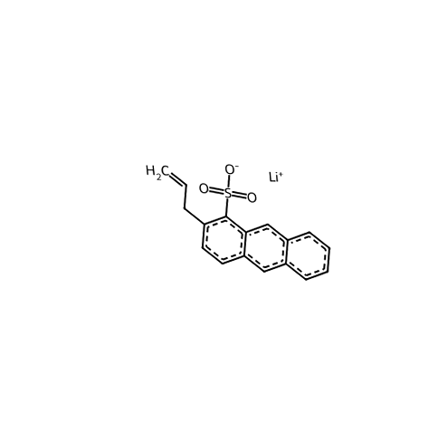 C=CCc1ccc2cc3ccccc3cc2c1S(=O)(=O)[O-].[Li+]